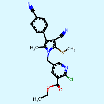 CCOC(=O)c1cc(Cn2c(C)c(-c3ccc(C#N)cc3)c(C#N)c2SC)cnc1Cl